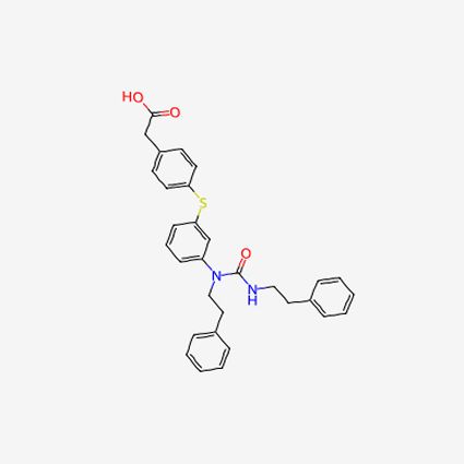 O=C(O)Cc1ccc(Sc2cccc(N(CCc3ccccc3)C(=O)NCCc3ccccc3)c2)cc1